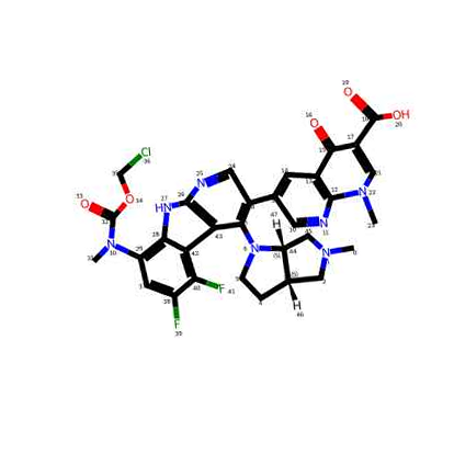 CN1C[C@@H]2CCN(c3c(-c4cnc5c(c4)c(=O)c(C(=O)O)cn5C)cnc4[nH]c5c(N(C)C(=O)OCCl)cc(F)c(F)c5c34)[C@@H]2C1